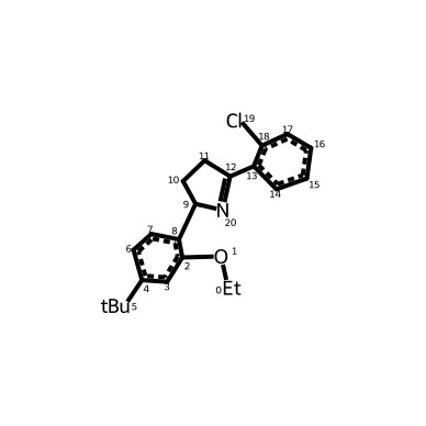 CCOc1cc(C(C)(C)C)ccc1C1CCC(c2ccccc2Cl)=N1